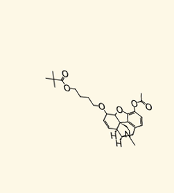 CC(=O)Oc1ccc2c3c1OC1C(OCCCCOC(=O)C(C)(C)C)C=C[C@H]4[C@@H](C2)N(C)CC[C@]314